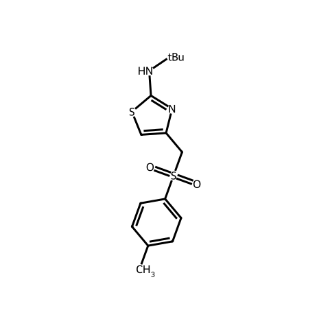 Cc1ccc(S(=O)(=O)Cc2csc(NC(C)(C)C)n2)cc1